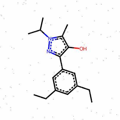 CCc1cc(CC)cc(-c2nn(C(C)C)c(C)c2O)c1